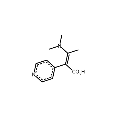 CC(=C(C(=O)O)c1ccncc1)N(C)C